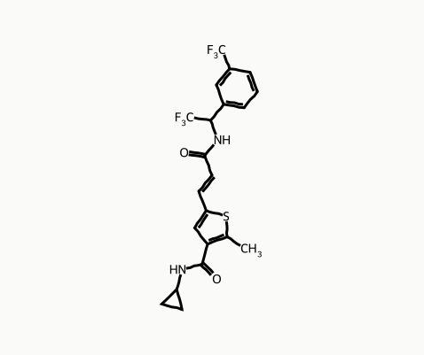 Cc1sc(C=CC(=O)NC(c2cccc(C(F)(F)F)c2)C(F)(F)F)cc1C(=O)NC1CC1